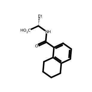 CC[C@H](NC(=O)c1cccc2c1CCCC2)C(=O)O